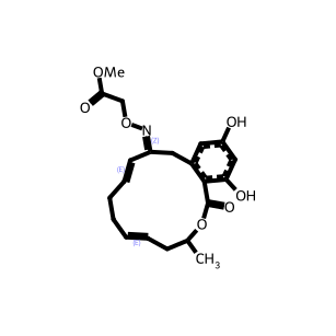 COC(=O)CO/N=C1\C=C\CC/C=C/CC(C)OC(=O)c2c(O)cc(O)cc2C1